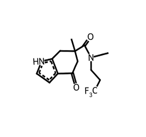 CN(CCC(F)(F)F)C(=O)C1(C)CC(=O)c2cc[nH]c2C1